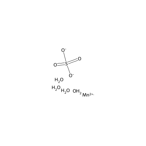 O.O.O.O.O=S(=O)([O-])[O-].[Mn+2]